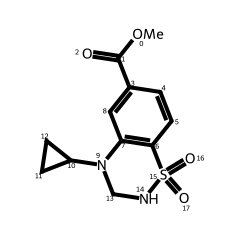 COC(=O)c1ccc2c(c1)N(C1CC1)CNS2(=O)=O